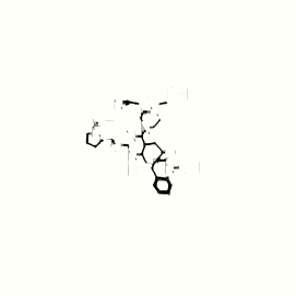 C=CC(=O)N1CCN(C2NC(OC[C@H]3CCCN3C)NC3C[C@@]4(CCC32)Cc2ccc(F)cc2N(C)C4=O)C[C@H]1CC#N